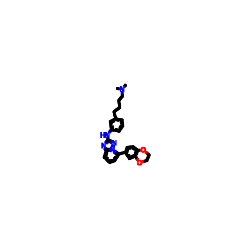 CN(C)CCCCc1cccc(Nc2nc3cccc(-c4ccc5c(c4)OCCO5)n3n2)c1